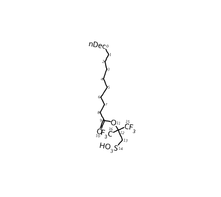 CCCCCCCCCCCCCCCCCCC(=O)OC(CS(=O)(=O)O)(C(F)(F)F)C(F)(F)F